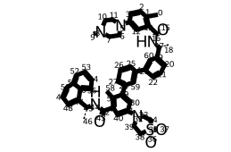 Cc1ccc(N2CCN(C)CC2)cc1C(=O)N[C@H](C)c1cccc(-c2cccc(-c3cc(N4CCS(=O)(=O)CC4)cc(C(=O)N[C@H](C)c4cccc5ccccc45)c3C)c2)c1